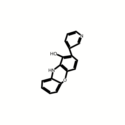 Oc1c(-c2[c]nccc2)ccc2c1Nc1ccccc1O2